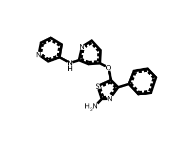 Nc1nc(-c2ccccc2)c(Oc2ccnc(Nc3cccnc3)c2)s1